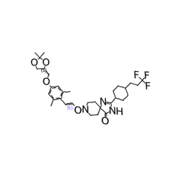 Cc1cc(OC[C@H]2COC(C)(C)O2)cc(C)c1/C=C/ON1CCC2(CC1)N=C(C1CCC(CCC(F)(F)F)CC1)NC2=O